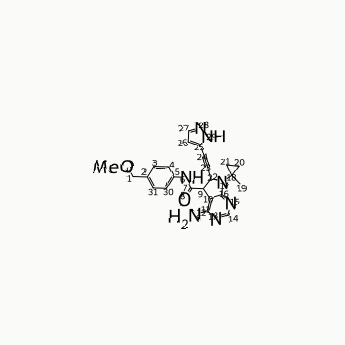 COCc1ccc(NC(=O)C2c3c(N)ncnc3N(C3(C)CC3)C2C#Cc2ccn[nH]2)cc1